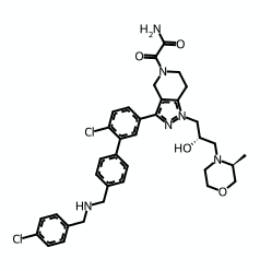 C[C@H]1COCCN1C[C@H](O)Cn1nc(-c2ccc(Cl)c(-c3ccc(CNCc4ccc(Cl)cc4)cc3)c2)c2c1CCN(C(=O)C(N)=O)C2